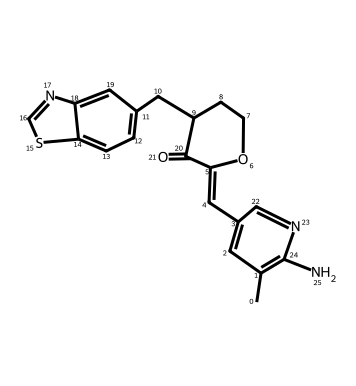 Cc1cc(/C=C2\OCCC(Cc3ccc4scnc4c3)C2=O)cnc1N